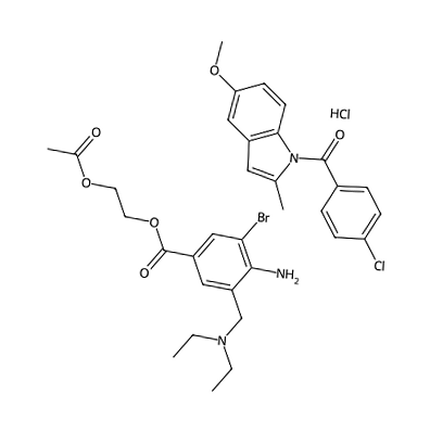 CCN(CC)Cc1cc(C(=O)OCCOC(C)=O)cc(Br)c1N.COc1ccc2c(c1)cc(C)n2C(=O)c1ccc(Cl)cc1.Cl